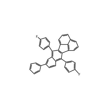 Fc1ccc(-c2c3c(c(-c4ccc(F)cc4)c4cc(-c5ccccc5)ccc24)-c2cccc4cccc-3c24)cc1